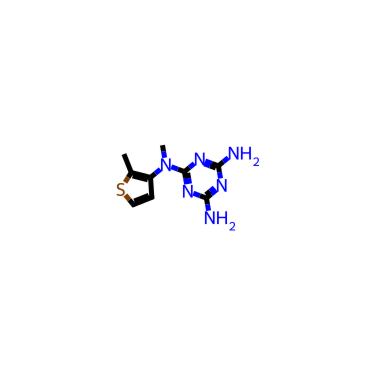 Cc1sccc1N(C)c1nc(N)nc(N)n1